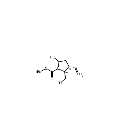 [3H]C[C@@H]1[C@@H](C=C)CC(O)N1C(=O)OC(C)(C)C